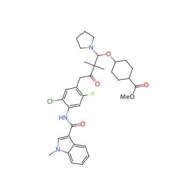 COC(=O)C1CCC(OC(N2CCCC2)C(C)(C)C(=O)Cc2cc(Cl)c(NC(=O)c3cn(C)c4ccccc34)cc2F)CC1